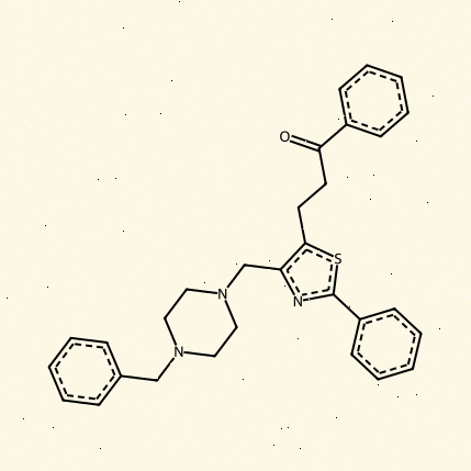 O=C(CCc1sc(-c2ccccc2)nc1CN1CCN(Cc2ccccc2)CC1)c1ccccc1